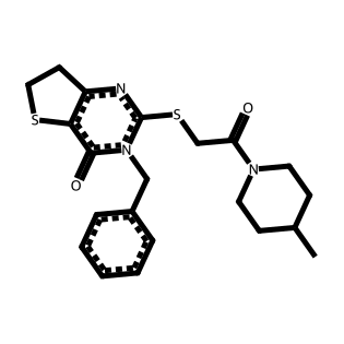 CC1CCN(C(=O)CSc2nc3c(c(=O)n2Cc2ccccc2)SCC3)CC1